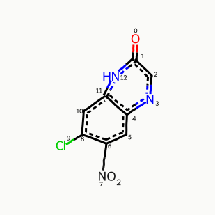 O=c1cnc2cc([N+](=O)[O-])c(Cl)cc2[nH]1